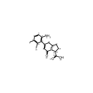 Cc1ccc(N)c(C2=CC(=O)N3C(CC[C@H]3C(=O)O)C2)c1F